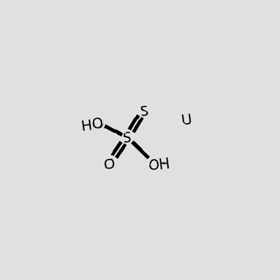 O=S(O)(O)=S.[U]